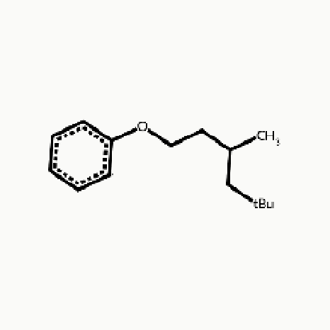 CC(CCOc1[c]cccc1)CC(C)(C)C